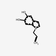 C=CCn1ccc2cc(O)c(O)cc21